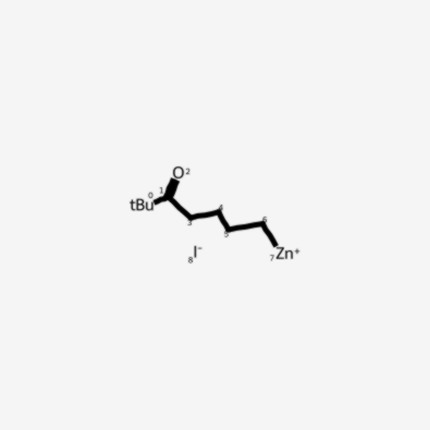 CC(C)(C)C(=O)CCC[CH2][Zn+].[I-]